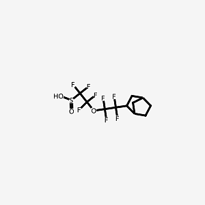 O=S(O)C(F)(F)C(F)(F)OC(F)(F)C(F)(F)C1CC2CCC1C2